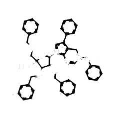 C[C@]1(COCc2ccccc2)O[C@@H](n2cc(-c3ccccc3)c3c2N=CN(Nc2ccccc2)C3)[C@H](OCc2ccccc2)[C@@H]1OCc1ccccc1